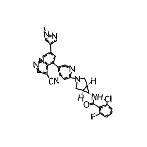 Cn1cc(-c2cc(-c3ccc(N4C[C@@H]5[C@H](C4)[C@H]5NC(=O)c4c(F)cccc4Cl)nc3)c3c(C#N)cnn3c2)cn1